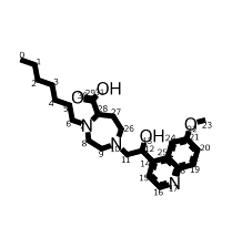 CCCCCCCN1CCN(CC(O)c2ccnc3ccc(OC)cc23)CCC1C(=O)O